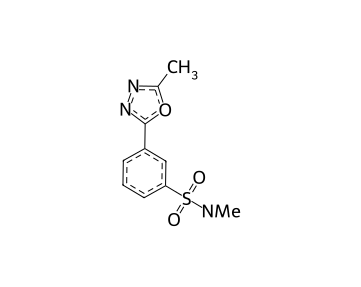 CNS(=O)(=O)c1cccc(-c2nnc(C)o2)c1